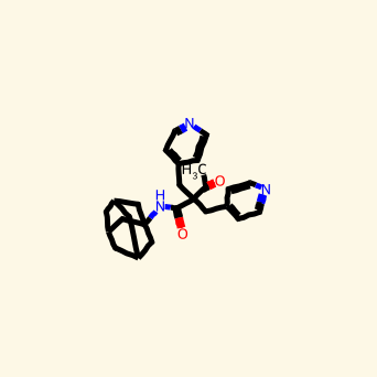 CC(=O)C(Cc1ccncc1)(Cc1ccncc1)C(=O)NC12CC3CC(CC(C3)C1)C2